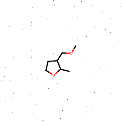 COCC1CCOC1C